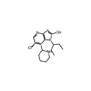 CCC(CC)n1c(O)nc2ncc(Cl)c(C3CCCCN3)c21